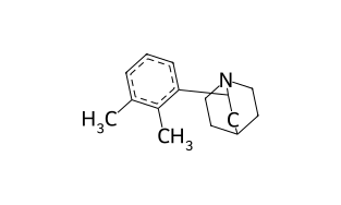 Cc1cccc(C2CC3CCN2CC3)c1C